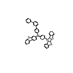 C1=C2SC3C4Sc5ccccc5C4N(C4=CC=C(N(c5ccc(-c6cccc(-c7ccccc7)c6)cc5)c5ccc6c(c5)sc5ccccc56)CC4)C3C2=CCC1